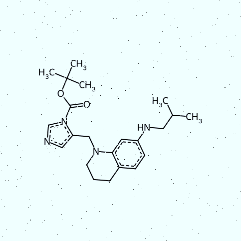 CC(C)CNc1ccc2c(c1)N(Cc1cncn1C(=O)OC(C)(C)C)CCC2